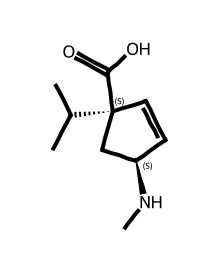 CN[C@@H]1C=C[C@@](C(=O)O)(C(C)C)C1